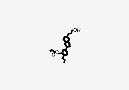 C=CC(=O)OCc1cc(-c2ccc3cc(CCCO)ccc3c2)ccc1CCC